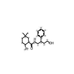 CC(C)C1CCC(C)(C)CC1C(=O)NCC(CCO)c1ccccc1